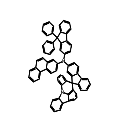 c1ccc(C2(c3ccccc3)c3ccccc3-c3ccc(N(c4ccc5c(c4)C4(c6ccccc6-5)c5ccccc5-n5c6ccccc6c6cccc4c65)c4ccc5c(ccc6ccccc65)c4)cc32)cc1